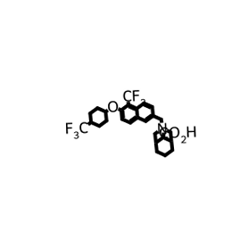 O=C(O)C1C2CCCC1CN(Cc1ccc3c(C(F)(F)F)c(OC4CCC(C(F)(F)F)CC4)ccc3c1)C2